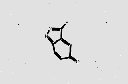 O=C1C=CC2=NN=C(F)C2=C1